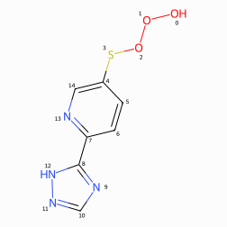 OOOSc1ccc(-c2ncn[nH]2)nc1